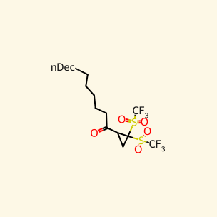 CCCCCCCCCCCCCCCC(=O)C1CC1(S(=O)(=O)C(F)(F)F)S(=O)(=O)C(F)(F)F